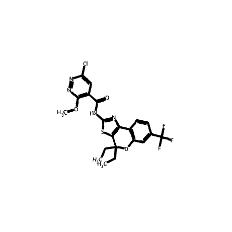 CCC1(CC)Oc2cc(C(F)(F)F)ccc2-c2nc(NC(=O)c3cc(Cl)nnc3OC)sc21